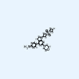 Nc1ncc(-c2nc(N3CCOCC3)nc3c2CCN3C2CN(S(=O)(=O)N3CCC3)C2)cn1